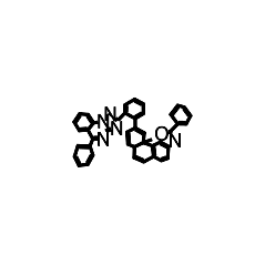 CC12C=C(c3ccccc3-c3nc4nc(-c5ccccc5)c5ccccc5n4n3)C=CC1C=Cc1ccc3nc(-c4ccccc4)oc3c12